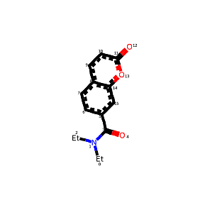 CCN(CC)C(=O)c1ccc2ccc(=O)oc2c1